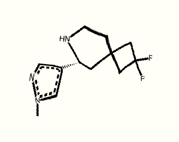 Cn1cc([C@H]2CC3(CCN2)CC(F)(F)C3)cn1